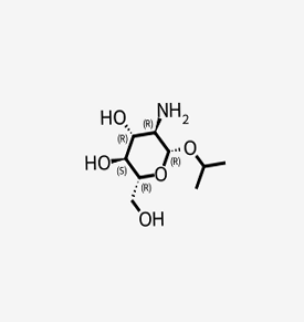 CC(C)O[C@@H]1O[C@H](CO)[C@@H](O)[C@H](O)[C@H]1N